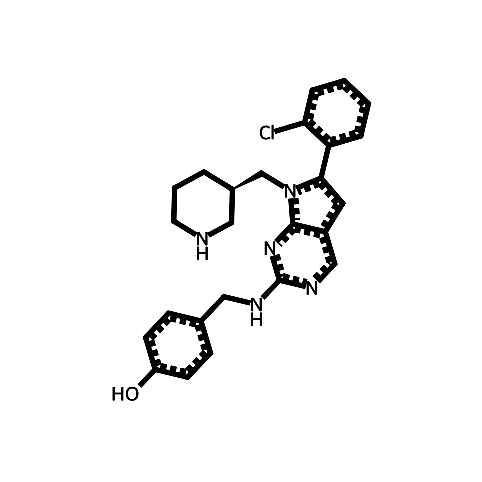 Oc1ccc(CNc2ncc3cc(-c4ccccc4Cl)n(C[C@@H]4CCCNC4)c3n2)cc1